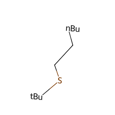 CCCCCCSC(C)(C)C